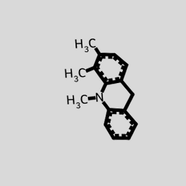 Cc1ccc2c(c1C)N(C)c1ccccc1C2